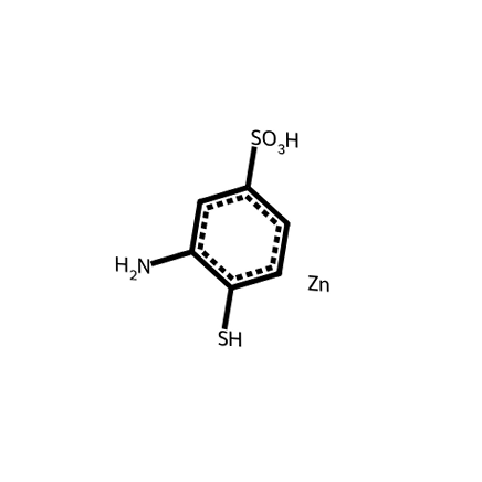 Nc1cc(S(=O)(=O)O)ccc1S.[Zn]